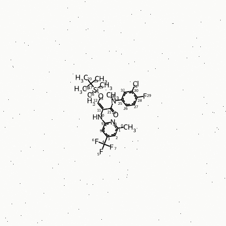 Cc1cc(C(F)(F)F)cc(NC(=CO[Si](C)(C)C(C)(C)C)C(=O)N(C)c2ccc(F)c(Cl)c2)n1